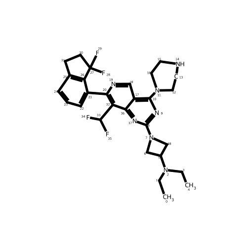 CCN(CC)C1CN(c2nc(N3CCNCC3)c3cnc(-c4cccc5c4C(F)(F)CC5)c(C(F)F)c3n2)C1